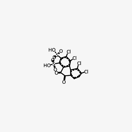 O=C1C(=O)c2c(c(Cl)c(Cl)c(S(=O)(=O)O)c2S(=O)(=O)O)-c2c1ccc(Cl)c2Cl